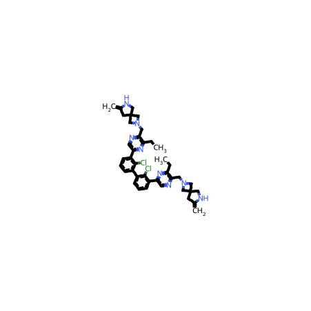 C=C1CC2(CN1)CN(Cc1ncc(-c3cccc(-c4cccc(-c5cnc(CN6CC7(CNC(=C)C7)C6)c(CC)n5)c4Cl)c3Cl)nc1CC)C2